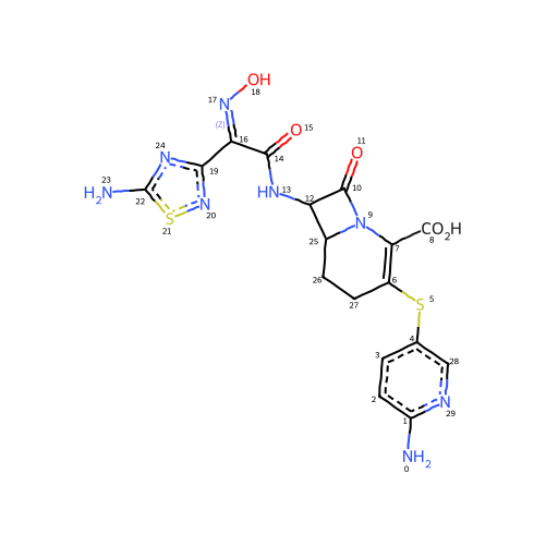 Nc1ccc(SC2=C(C(=O)O)N3C(=O)C(NC(=O)/C(=N\O)c4nsc(N)n4)C3CC2)cn1